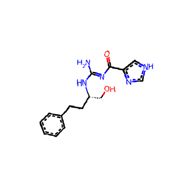 NC(=NC(=O)c1c[nH]cn1)N[C@H](CO)CCc1ccccc1